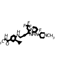 CNC(=O)c1ccc(NCC#Cc2nc3c(N[C@@H]4CCN(C)C[C@@H]4F)cccn3c2CC(F)(F)F)c(C2CC2)c1